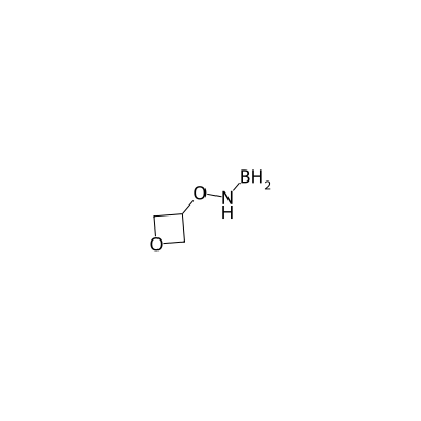 BNOC1COC1